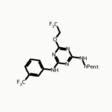 CCCCCNc1nc(Nc2cccc(C(F)(F)F)c2)nc(OCC(F)(F)F)n1